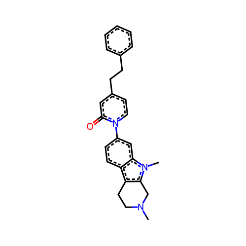 CN1CCc2c(n(C)c3cc(-n4ccc(CCc5ccccc5)cc4=O)ccc23)C1